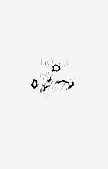 Cl.Cl.N[C@H]1CC[C@H](Nc2nc(NCCCc3ncc[nH]3)c3ncn(C4CCCC4)c3n2)CC1